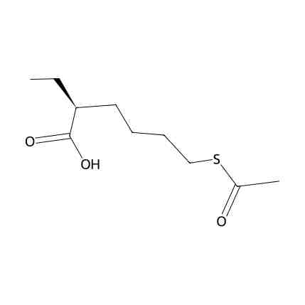 CC[C@@H](CCCCSC(C)=O)C(=O)O